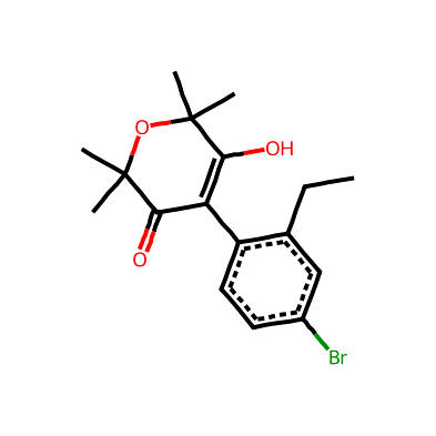 CCc1cc(Br)ccc1C1=C(O)C(C)(C)OC(C)(C)C1=O